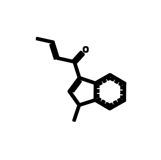 C/C=C/C(=O)C1=CC(C)c2ccccc21